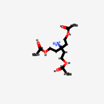 CC(C)(C)C(=O)OCCC(N)(CCOC(=O)C(C)(C)C)CCOC(=O)C(C)(C)C